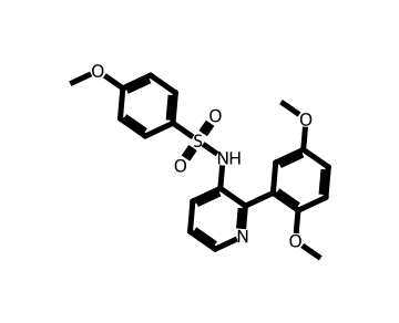 COc1ccc(S(=O)(=O)Nc2cccnc2-c2cc(OC)ccc2OC)cc1